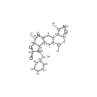 COc1cc2c(cc1-c1c(C)noc1C)nc(C)c1oc(=O)n([C@H](C)c3ccccc3)c12